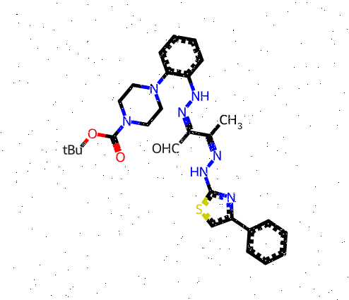 CC(=N/Nc1nc(-c2ccccc2)cs1)/C(C=O)=N\Nc1ccccc1N1CCN(C(=O)OC(C)(C)C)CC1